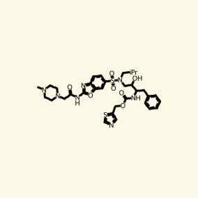 CC(C)CN(CC(O)C(Cc1ccccc1)NC(=O)OCc1cncs1)S(=O)(=O)c1ccc2nc(NC(=O)CN3CCN(C)CC3)oc2c1